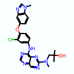 CN(CC(C)(C)O)c1ncc2ncnc(Nc3ccc(Oc4ccc5c(c4)ncn5C)c(Cl)c3)c2n1